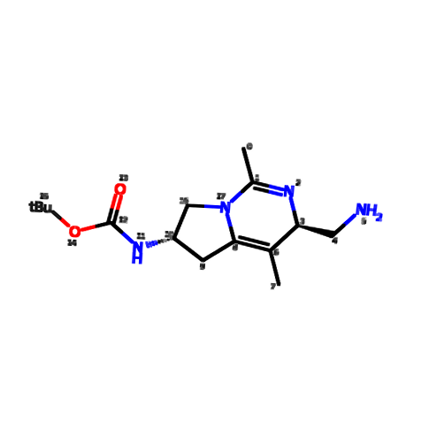 CC1=N[C@@H](CN)C(C)=C2C[C@H](NC(=O)OC(C)(C)C)CN12